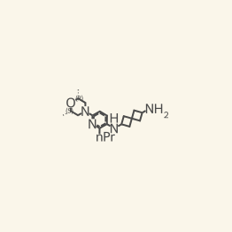 CCCc1nc(N2C[C@@H](C)O[C@@H](C)C2)ccc1NC1CC2(CC(N)C2)C1